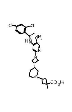 C[C@@H](Nc1cc(N2CC([C@H]3CCCN(C4CC(C)(C(=O)O)C4)C3)C2)ncc1N)c1ccc(Cl)cc1Cl